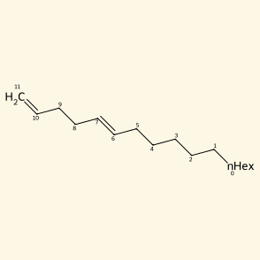 [CH2]CCCCCCCCCC/C=C/CCC=C